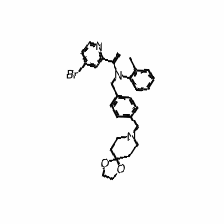 C=C(c1cc(Br)ccn1)N(Cc1ccc(CN2CCC3(CC2)OCCO3)cc1)c1ccccc1C